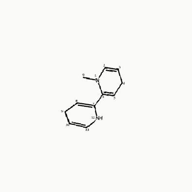 CN1C=CCC=C1C1=CCC=CN1